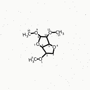 COC1COC2C1OC(OC)C2OC